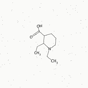 CCC1C(C(=O)O)CCCN1CC